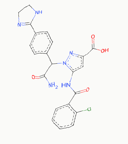 NC(=O)C(c1ccc(C2=NCCN2)cc1)n1nc(C(=O)O)cc1NC(=O)c1ccccc1Cl